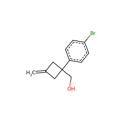 C=C1CC(CO)(c2ccc(Br)cc2)C1